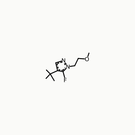 COCCn1ncc(C(C)(C)C)c1F